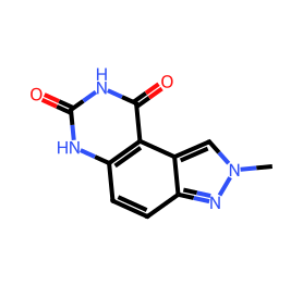 Cn1cc2c(ccc3[nH]c(=O)[nH]c(=O)c32)n1